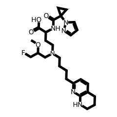 COC(CF)CN(CCCCc1ccc2c(n1)NCCC2)CCC(NC(=O)C1(n2cccn2)CC1)C(=O)O